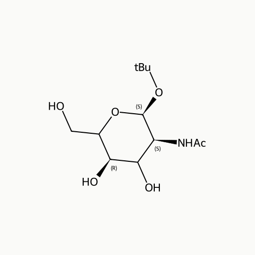 CC(=O)N[C@H]1C(O)[C@@H](O)C(CO)O[C@H]1OC(C)(C)C